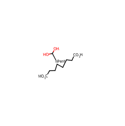 CCCCCC(O)O.O=C(O)CCCCCCC(=O)O